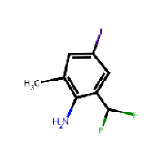 Cc1cc(I)cc(C(F)F)c1N